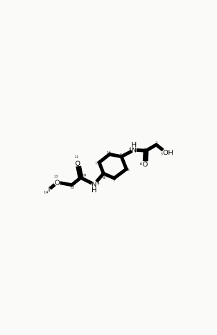 O=C(CO)NC1CCC(NC(=O)COI)CC1